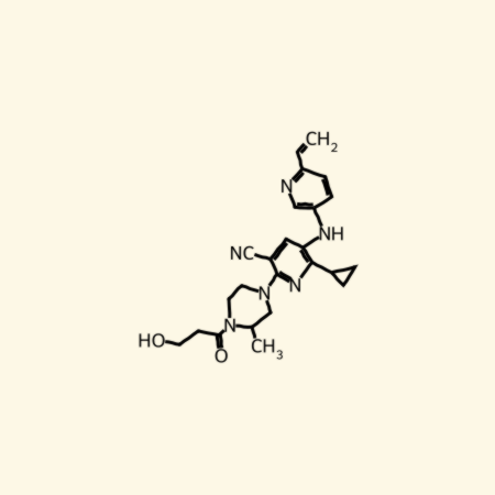 C=Cc1ccc(Nc2cc(C#N)c(N3CCN(C(=O)CCO)C(C)C3)nc2C2CC2)cn1